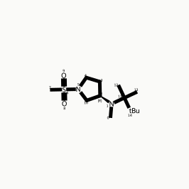 CN([C@@H]1CCN(S(C)(=O)=O)C1)C(C)(C)C(C)(C)C